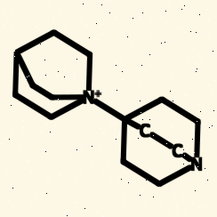 C1C[N+]2(C34CCN(CC3)CC4)CCC1CC2